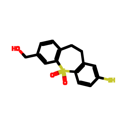 O=S1(=O)c2ccc(S)cc2CCc2ccc(CO)cc21